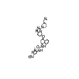 CN(C)C[C@H]1CCCN(c2nnc3ccc(O[C@@H]4CC[C@H](NC(=O)Nc5cc(C(C)(C)C)nn5C)c5ccccc54)cn23)C1